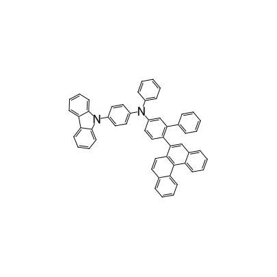 c1ccc(-c2cc(N(c3ccccc3)c3ccc(-n4c5ccccc5c5ccccc54)cc3)ccc2-c2cc3ccccc3c3c2ccc2ccccc23)cc1